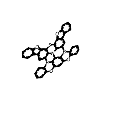 c1ccc2c(c1)Oc1cc3c4c5c1B2c1cc2c(oc6ccccc62)c2c1N5c1c(cc5c(oc6ccccc65)c1S2)B4c1ccccc1O3